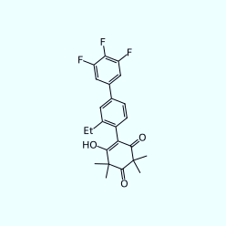 CCc1cc(-c2cc(F)c(F)c(F)c2)ccc1C1=C(O)C(C)(C)C(=O)C(C)(C)C1=O